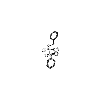 O=S(=O)(c1ccccc1)C(Cl)(Cl)SCc1ccccc1